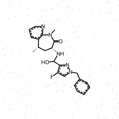 C[C@H]1C[C@@H](NC(O)c2nn(Cc3ccccc3)cc2F)C(=O)N(C)c2ncccc21